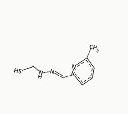 Cc1cccc(C=NNCS)n1